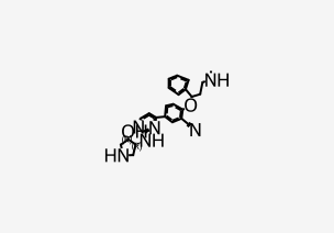 CNCCC(Oc1ccc(-c2ccnc(N[C@@H]3CNC[C@H]3O)n2)cc1C#N)c1ccccc1